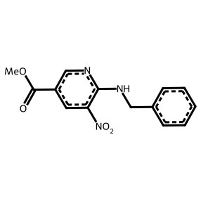 COC(=O)c1cnc(NCc2ccccc2)c([N+](=O)[O-])c1